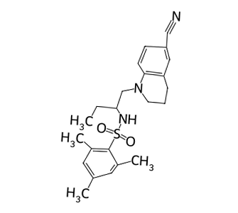 CCC(CN1CCCc2cc(C#N)ccc21)NS(=O)(=O)c1c(C)cc(C)cc1C